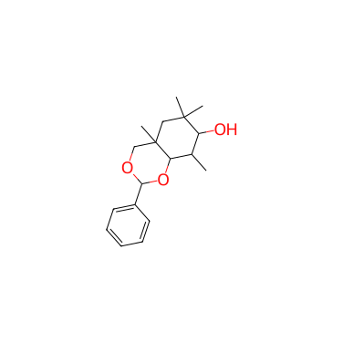 CC1C(O)C(C)(C)CC2(C)COC(c3ccccc3)OC12